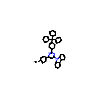 N#Cc1ccc(-c2cc(-n3c4ccccc4c4ccccc43)nc(-c3ccc(C(c4ccccc4)(c4ccccc4)c4ccccc4)cc3)n2)cc1